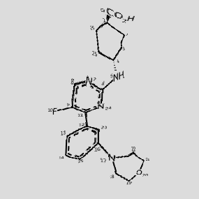 O=C(O)[C@H]1CC[C@H](Nc2ncc(F)c(-c3cccc(N4CCOCC4)c3)n2)CC1